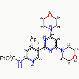 CCOC(=O)Nc1cc(C(F)(F)F)c(-c2nc(N3CCOCC3)cc(N3CCOCC3)n2)cn1